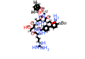 CCCCc1ccc(-c2ccc(C(=O)N[C@@H](CCCNC(=N)N)C(=O)N[C@H](C(=O)N[C@@H](C)C(=O)N[C@@H](CCCCN)C(=O)N[C@@H](C)B3OC4C[C@@H]5C[C@@H](C5(C)C)[C@]4(C)O3)C(C)O)cc2)cc1